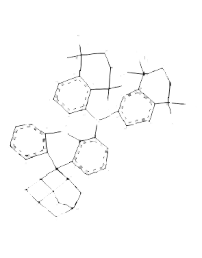 CC1(C)CCC(C)(C)c2cc(N(c3cccc4c3Oc3ccccc3C43C4CC5CC6CC3C64C5)c3cccc4c3C(C)(C)CCC4(C)C)ccc21